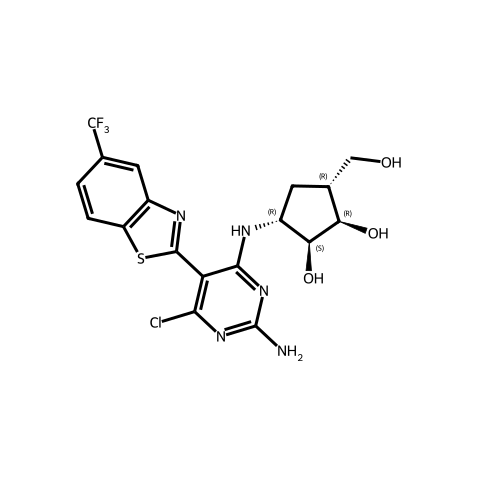 Nc1nc(Cl)c(-c2nc3cc(C(F)(F)F)ccc3s2)c(N[C@@H]2C[C@H](CO)[C@@H](O)[C@H]2O)n1